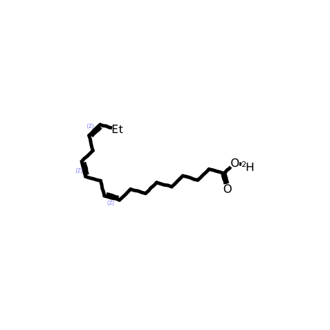 [2H]OC(=O)CCCCCCC/C=C\C/C=C\C/C=C\CC